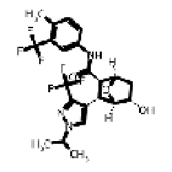 Cc1ccc(NC(=O)[C@@H]2[C@@H](c3cn(C(C)C)nc3C(F)(F)F)[C@H]3O[C@@H]2C[C@@H]3O)cc1C(F)(F)F